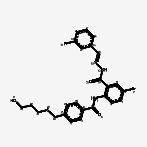 O=C(Nc1ccc(Br)cc1C(=O)NN=Cc1cccc(F)c1)c1ccc(CSCCCO)cc1